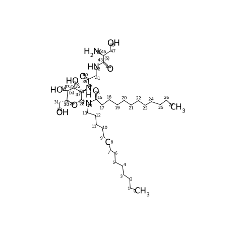 CCCCCCCCCCCCCCN(C(=O)CCCCCCCCCCC)[C@@H]1O[C@H](CO)[C@@H](O)[C@H](O)[C@H]1NC(=O)CNC(=O)[C@@H](N)CO